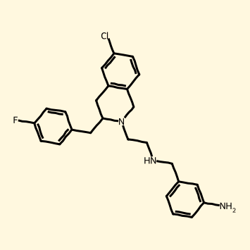 Nc1cccc(CNCCN2Cc3ccc(Cl)cc3CC2Cc2ccc(F)cc2)c1